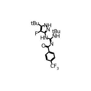 CC(C)(C)N/C(=N/C(=O)c1ccc(C(F)(F)F)cc1)Nc1n[nH]c(C(C)(C)C)c1F